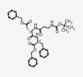 CC(C)(C)OC(=O)NCCC(=O)N[C@@H](CC(=O)OCc1ccccc1)C(=O)N[C@@H](Cc1ccccc1)C(=O)OCc1ccccc1